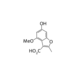 COc1cc(O)cc2oc(C)c(C(=O)O)c12